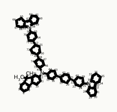 CC1(C)c2ccccc2-c2ccc(N(c3ccc(-c4ccc(-c5ccc(-n6c7ccccc7c7ccccc76)cc5)cc4)cc3)c3ccc(-c4ccc(-c5ccc(-n6c7ccccc7c7ccccc76)cc5)cc4)cc3)cc21